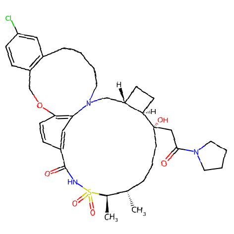 C[C@@H]1[C@@H](C)CCC[C@](O)(CC(=O)N2CCCC2)[C@@H]2CC[C@H]2CN2CCCCc3cc(Cl)ccc3COc3ccc(cc32)C(=O)NS1(=O)=O